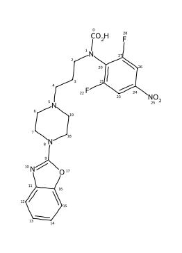 O=C(O)N(CCCN1CCN(c2nc3ccccc3o2)CC1)c1c(F)cc([N+](=O)[O-])cc1F